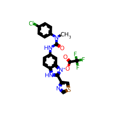 CN(C(=O)Nc1ccc2[nH]c(-c3cscn3)[n+](OC(=O)C(F)(F)F)c2c1)c1ccc(Cl)cc1